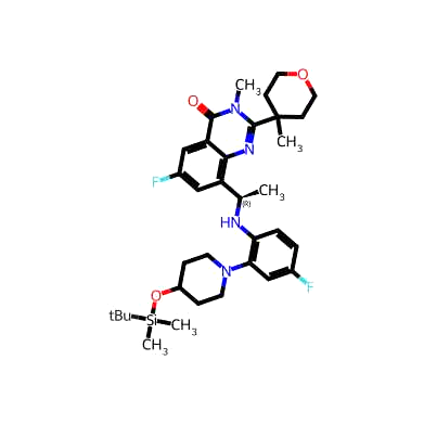 C[C@@H](Nc1ccc(F)cc1N1CCC(O[Si](C)(C)C(C)(C)C)CC1)c1cc(F)cc2c(=O)n(C)c(C3(C)CCOCC3)nc12